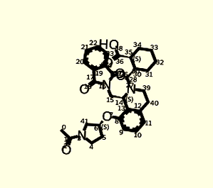 CC(=O)N1CC[C@H](Oc2cccc3c2[C@@H](CN2C(=O)c4ccccc4C2=O)N(C(=O)[C@@H]2CCCC[C@@H]2C(=O)O)CC3)C1